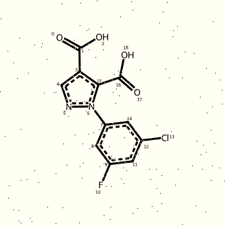 O=C(O)c1cnn(-c2cc(F)cc(Cl)c2)c1C(=O)O